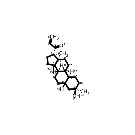 C=CC(=O)[C@H]1CC[C@H]2[C@@H]3CC[C@H]4C[C@](C)(O)CC[C@@H]4[C@H]3CC[C@]12C